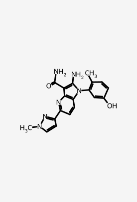 Cc1ccc(O)cc1-n1c(N)c(C(N)=O)c2nc(-c3ccn(C)n3)ccc21